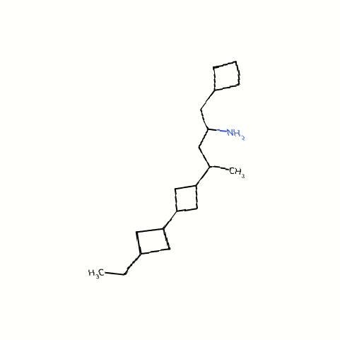 CCC1CC(C2CC(C(C)CC(N)CC3CCC3)C2)C1